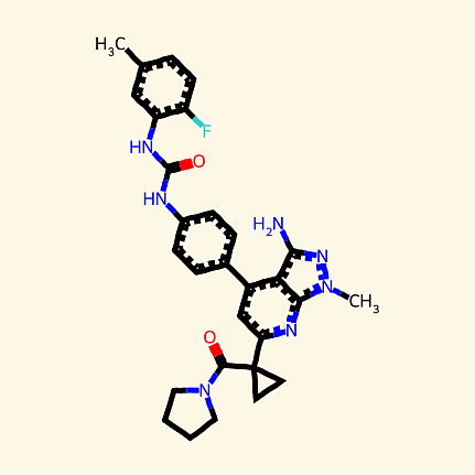 Cc1ccc(F)c(NC(=O)Nc2ccc(-c3cc(C4(C(=O)N5CCCC5)CC4)nc4c3c(N)nn4C)cc2)c1